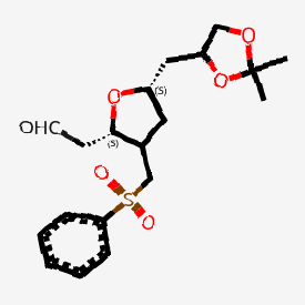 CC1(C)OCC(C[C@@H]2CC(CS(=O)(=O)c3ccccc3)[C@H](CC=O)O2)O1